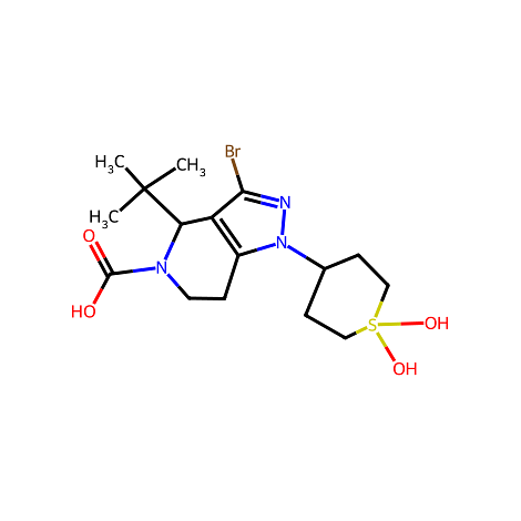 CC(C)(C)C1c2c(Br)nn(C3CCS(O)(O)CC3)c2CCN1C(=O)O